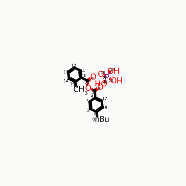 CCCCc1ccc(C(=O)OC(=O)c2ccccc2C)cc1.O=P(O)(O)O